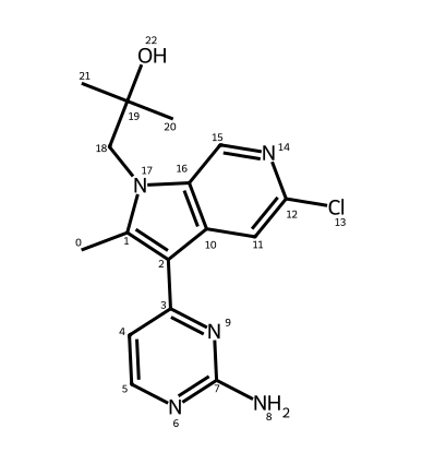 Cc1c(-c2ccnc(N)n2)c2cc(Cl)ncc2n1CC(C)(C)O